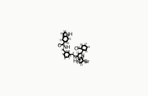 O=C(NCc1cccc(CNc2cc(-c3ccccc3Cl)nc3c(Br)cnn23)c1)c1ccc2[nH]ccc2c1